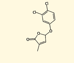 CC1=CC(Oc2ccc(Cl)c(Cl)c2)OC1=O